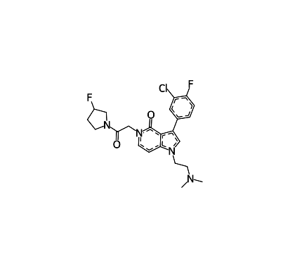 CN(C)CCn1cc(-c2ccc(F)c(Cl)c2)c2c(=O)n(CC(=O)N3CCC(F)C3)ccc21